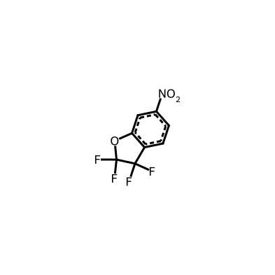 O=[N+]([O-])c1ccc2c(c1)OC(F)(F)C2(F)F